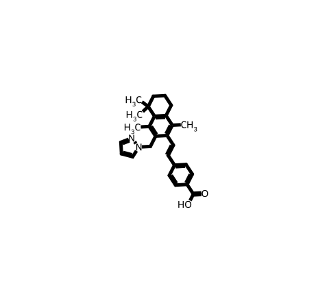 Cc1c(C=Cc2ccc(C(=O)O)cc2)c(Cn2cccn2)c(C)c2c1CCCC2(C)C